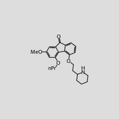 CCCOc1cc(OC)cc2c1-c1c(OCCC3CCCCN3)cccc1C2=O